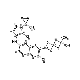 CC1(O)CC2(CN(c3cc4nc(Nc5cnn(C6(C)CC6)c5Cl)ncc4cc3Cl)C2)C1